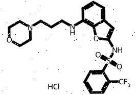 Cl.O=S(=O)(Nc1cc2cccc(NCCCN3CCOCC3)c2o1)c1ccccc1C(F)(F)F